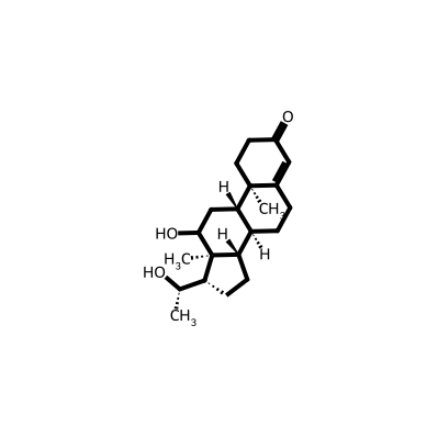 C[C@H](O)[C@H]1CC[C@H]2[C@@H]3CCC4=CC(=O)CC[C@]4(C)[C@H]3CC(O)[C@]12C